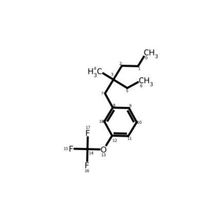 CCCC(C)(CC)Cc1cccc(OC(F)(F)F)c1